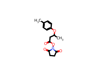 Cc1ccc(OC(C)CC(=O)ON2C(=O)CCC2=O)cc1